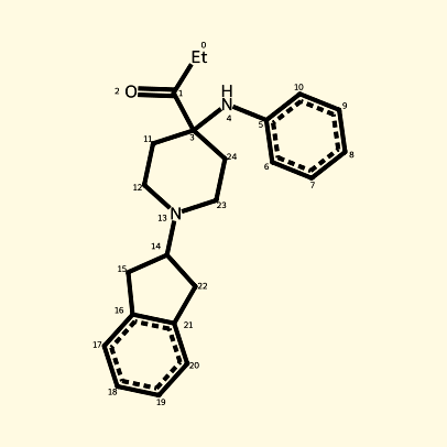 CCC(=O)C1(Nc2ccccc2)CCN(C2Cc3ccccc3C2)CC1